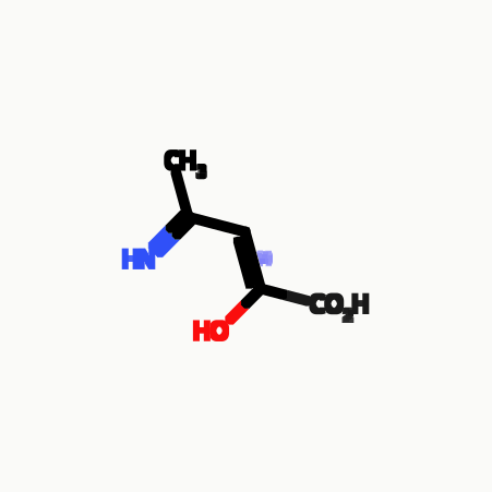 CC(=N)/C=C(\O)C(=O)O